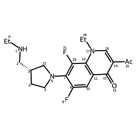 CCNC[C@H]1CCN(c2c(F)cc3c(=O)c(C(C)=O)cn(CC)c3c2F)C1